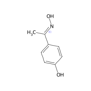 C/C(=N\O)c1ccc(O)cc1